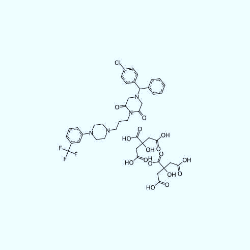 O=C(O)CC(O)(CC(=O)O)C(=O)O.O=C(O)CC(O)(CC(=O)O)C(=O)O.O=C1CN(C(c2ccccc2)c2ccc(Cl)cc2)CC(=O)N1CCCN1CCN(c2cccc(C(F)(F)F)c2)CC1